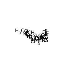 Cc1nc(CN2CC[C@H](N(C)c3cc(F)c(S(=O)(=O)N(OC(=O)C(F)(F)F)c4cscn4)cc3C)C2)c(C)o1